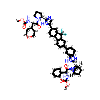 COC(=O)N[C@H](C(=O)N1CCC[C@H]1c1ncc(-c2ccc3c(c2)C(F)(F)c2cc(-c4ccc5nc([C@@H]6[C@@H]7CC[C@H](C7)N6C(=O)[C@H](NC(=O)OC)c6ccccc6)[nH]c5c4)ccc2-3)[nH]1)C1CCOCC1